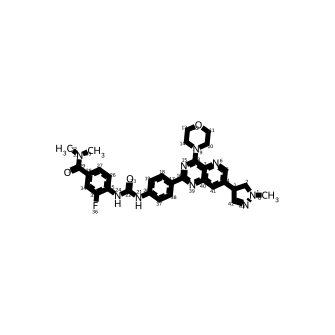 CN1CC(c2cnc3c(N4CCOCC4)nc(-c4ccc(NC(=O)Nc5ccc(C(=O)N(C)C)cc5F)cc4)nc3c2)C=N1